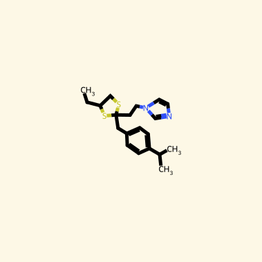 CCC1CSC(CCn2ccnc2)(Cc2ccc(C(C)C)cc2)S1